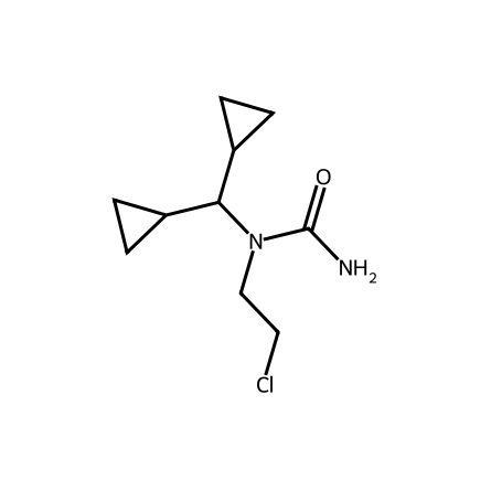 NC(=O)N(CCCl)C(C1CC1)C1CC1